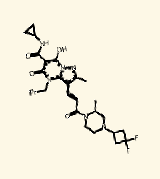 Cc1nn2c(O)c(C(=O)NC3CC3)c(=O)n(CC(C)C)c2c1/C=C/C(=O)N1CCN(C2CC(F)(F)C2)C[C@@H]1C